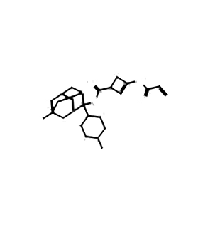 C=CC(=O)OC1=CC(C(=O)OC2(C3CCC(C)CC3)C3CC4CC2CC(C)(C4)C3)C1